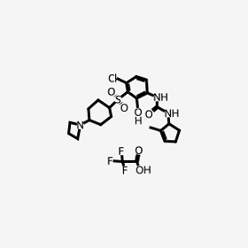 CC1=CCCC1NC(=O)Nc1ccc(Cl)c(S(=O)(=O)C2CCC(N3CCC3)CC2)c1O.O=C(O)C(F)(F)F